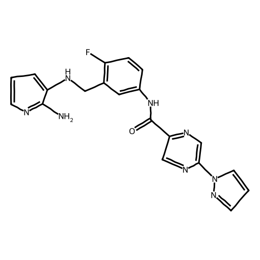 Nc1ncccc1NCc1cc(NC(=O)c2cnc(-n3cccn3)cn2)ccc1F